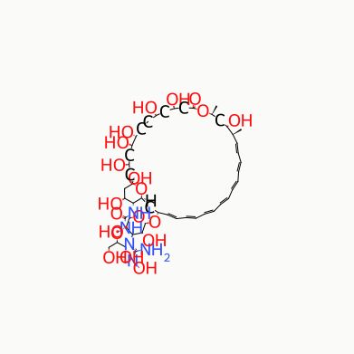 C[C@H]1C[C@H](O)[C@@H](C)/C=C/C=C/C=C/C=C/C=C/C=C/C=C/[C@H](O[C@@H]2OC[C@@H](O)[C@H](/N=C(\N)N(C)O)[C@@H]2O)C[C@@H]2O[C@](O)(C[C@@H](O)C[C@@H](O)[C@H](O)CC[C@@H](O)C[C@@H](O)CC(=O)O1)C[C@H](O)[C@H]2NC(=O)NOC(CO)CO